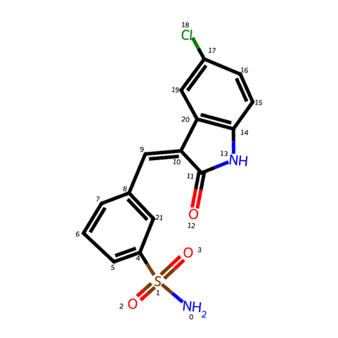 NS(=O)(=O)c1cccc(/C=C2\C(=O)Nc3ccc(Cl)cc32)c1